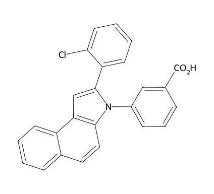 O=C(O)c1cccc(-n2c(-c3ccccc3Cl)cc3c4ccccc4ccc32)c1